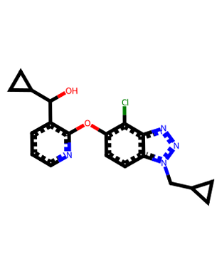 OC(c1cccnc1Oc1ccc2c(nnn2CC2CC2)c1Cl)C1CC1